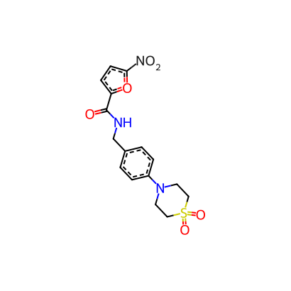 O=C(NCc1ccc(N2CCS(=O)(=O)CC2)cc1)c1ccc([N+](=O)[O-])o1